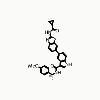 COc1ccc([C@@H](C)NC(=O)c2c[nH]c3ccc(-c4ccc5nc(NC(=O)C6CC6)sc5c4)cc23)cc1